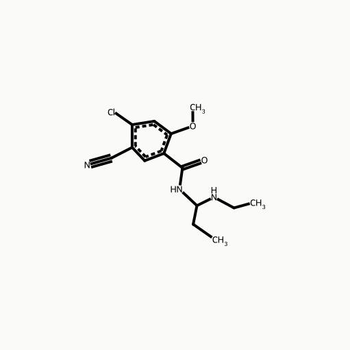 CCNC(CC)NC(=O)c1cc(C#N)c(Cl)cc1OC